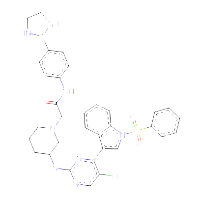 O=C(CN1CCCC(Nc2ncc(Cl)c(-c3cn(S(=O)(=O)c4ccccc4)c4ccccc34)n2)C1)Nc1ccc([As]2NCCN2)cc1